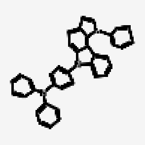 c1ccc(N(c2ccccc2)c2ccc(-n3c4ccccc4c4c5c(ccc43)ccn5-c3ccccc3)cc2)cc1